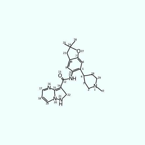 CN1CCC(c2cc3c(cc2NC(=O)C2=C4N=CC=CN4NC2)CC(C)(C)O3)CC1